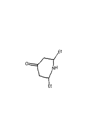 CCC1CC(=O)CC(CC)N1